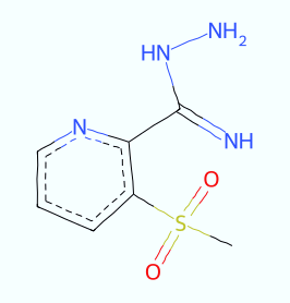 CS(=O)(=O)c1cccnc1C(=N)NN